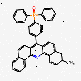 CC1C=Cc2c(ccc3c(-c4c#cc(P(=O)(c5ccccc5)c5ccccc5)cc4)c4ccc5ccccc5c4nc23)C1